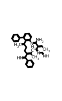 C=C(CCC(C(=N)c1ccccc1)=C(C)C)c1c(/N=C(N)/C(/C=N\C=N)=C/C)cccc1-c1ccccc1